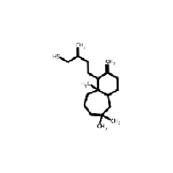 C=C1CCC2CC(C)(C)CCCC2(C)C1CCC(C)CS